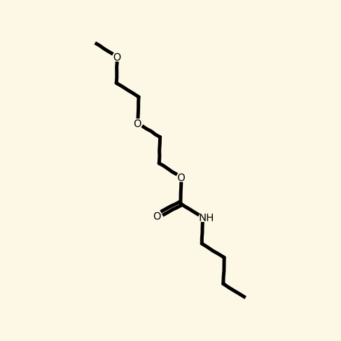 CCCCNC(=O)OCCOCCOC